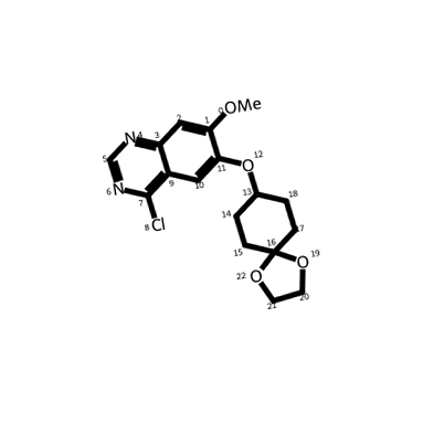 COc1cc2ncnc(Cl)c2cc1OC1CCC2(CC1)OCCO2